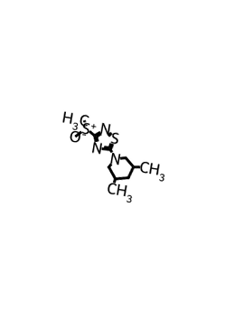 CC1CC(C)CN(c2nc([S+](C)[O-])ns2)C1